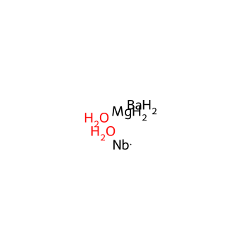 O.O.[BaH2].[MgH2].[Nb]